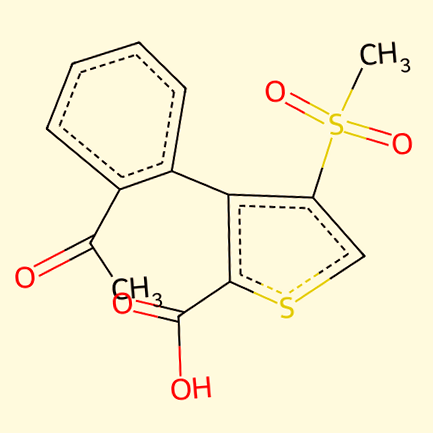 CC(=O)c1ccccc1-c1c(S(C)(=O)=O)csc1C(=O)O